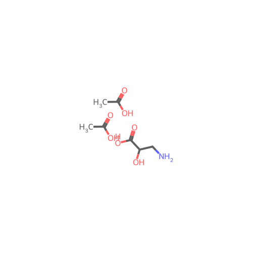 CC(=O)O.CC(=O)O.NCC(O)C(=O)O